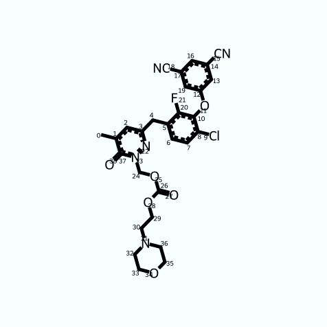 Cc1cc(Cc2ccc(Cl)c(Oc3cc(C#N)cc(C#N)c3)c2F)nn(COC(=O)OCCN2CCOCC2)c1=O